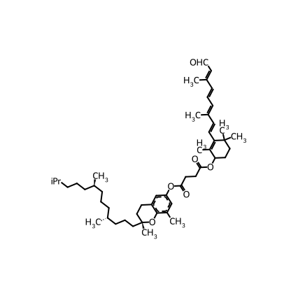 CC1=C(/C=C/C(C)=C/C=C/C(C)=C/C=O)C(C)(C)CCC1OC(=O)CCC(=O)Oc1cc(C)c2c(c1)CC[C@@](C)(CCC[C@H](C)CCC[C@H](C)CCCC(C)C)O2